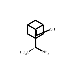 N[C@H](C(=O)O)C12CC(O)=C3C(CC3C1)C2